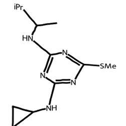 CSc1nc(NC2CC2)nc(NC(C)C(C)C)n1